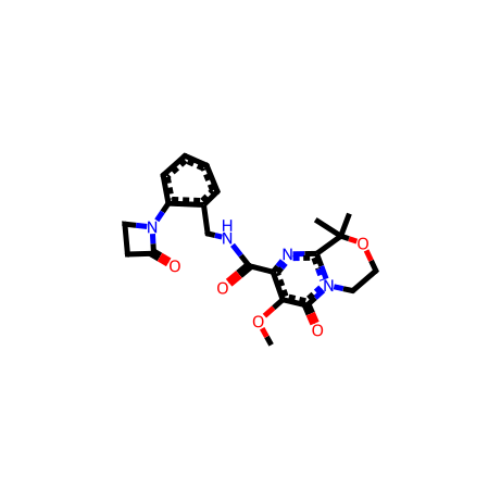 COc1c(C(=O)NCc2ccccc2N2CCC2=O)nc2n(c1=O)CCOC2(C)C